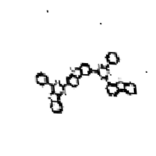 c1ccc(-c2nc(-c3ccc4oc5cc(-c6nc(-c7ccccc7)c7sc8ccccc8c7n6)ccc5c4c3)nc(-c3cccc4c3sc3ccccc34)n2)cc1